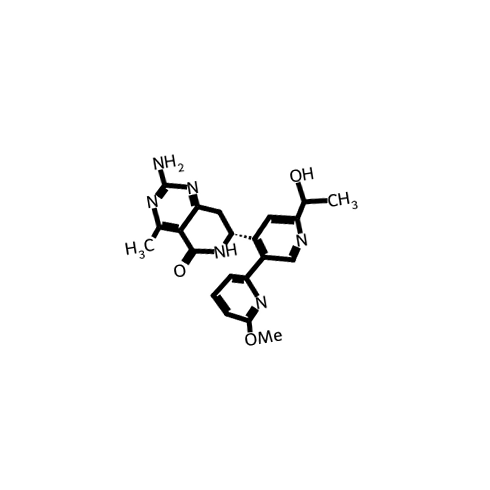 COc1cccc(-c2cnc(C(C)O)cc2[C@H]2Cc3nc(N)nc(C)c3C(=O)N2)n1